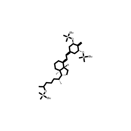 C=C1[C@H](O[Si](C)(C)C(C)(C)C)CC(=C/C=C2\CCC[C@]3(C)[C@@H]([C@H](C)CCCC(C)O[Si](C)(C)C(C)(C)C)CC[C@@H]23)C[C@H]1O[Si](C)(C)C(C)(C)C